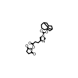 O=C(CCc1cn(C(=O)OC23CCCC4CC(CC2C4)C3)cn1)ON1C(=O)CCC1=O